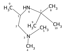 CC(CN(C)C)NC(C)(C)C